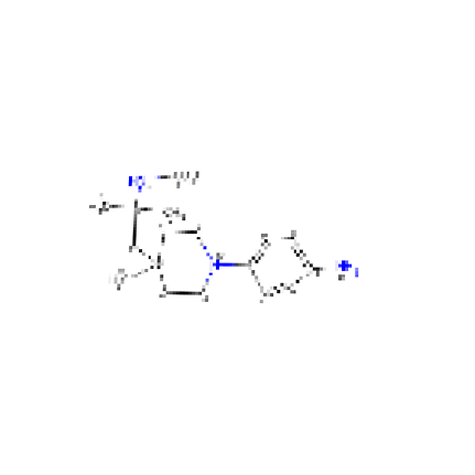 CC1(CC(C)(C)NC(=O)O)CCN(c2ccc(N)cc2)CC1